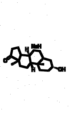 C[C@]12CC[C@@H](O)CC1CC[C@@H]1C3CCC(=O)[C@@]3(C)CC[C@H]12.[NaH]